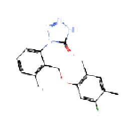 CCc1cccc(-n2nn[nH]c2=O)c1COc1cc(Cl)c(C)cc1C